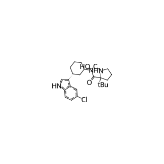 CC(C)(C)C1(C(=O)NC2CCC[C@@H](c3c[nH]c4ccc(Cl)cc34)C2)CCCN1C(=O)O